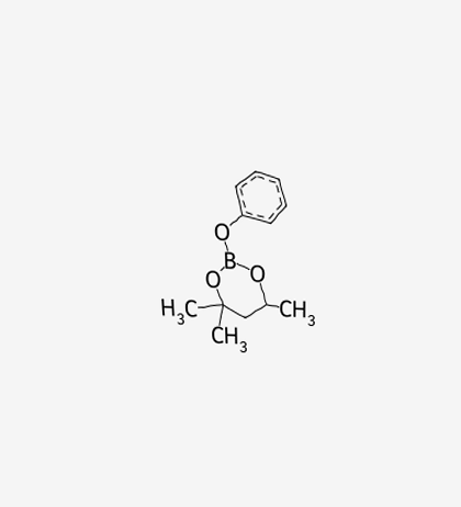 CC1CC(C)(C)OB(Oc2ccccc2)O1